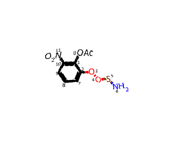 CC(=O)Oc1c(OOSN)cccc1[N+](=O)[O-]